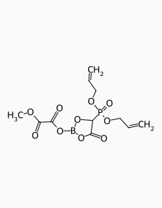 C=CCOP(=O)(OCC=C)C1OB(OC(=O)C(=O)OC)OC1=O